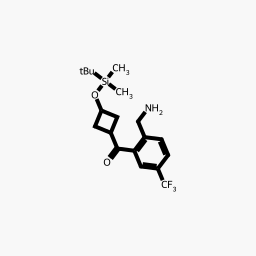 CC(C)(C)[Si](C)(C)OC1CC(C(=O)c2cc(C(F)(F)F)ccc2CN)C1